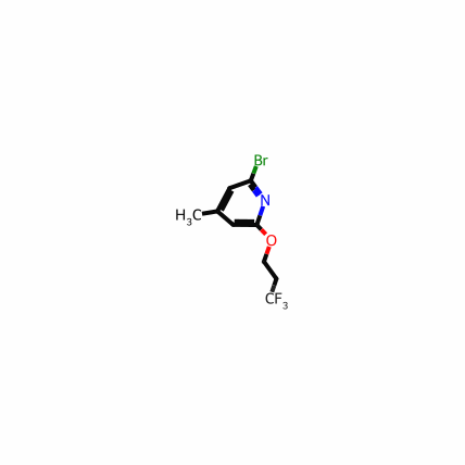 Cc1cc(Br)nc(OCCC(F)(F)F)c1